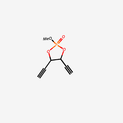 C#CC1OP(=O)(OC)OC1C#C